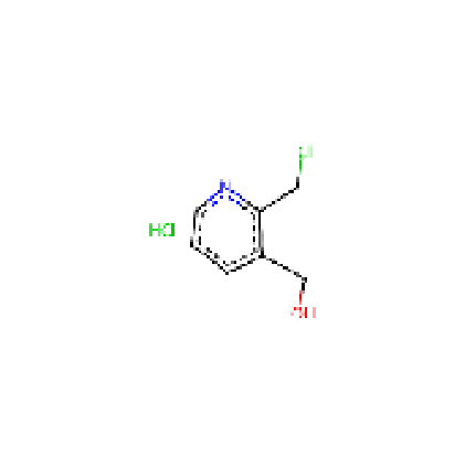 Cl.OCc1cccnc1CCl